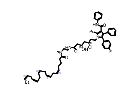 CC/C=C\C/C=C\C/C=C\C/C=C\C/C=C\CCCC(=O)N(C)CCNC(=O)C[C@H](O)C[C@H](O)CCn1c(-c2ccc(F)cc2)c(-c2ccccc2)c(C(=O)Nc2ccccc2)c1C(C)C